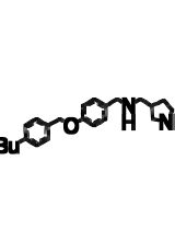 CC(C)(C)c1ccc(COc2ccc(CNCC3CCNC3)cc2)cc1